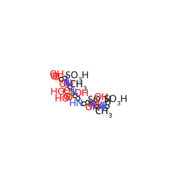 Cc1cc(/N=N/c2c(S(=O)(=O)O)cc3cc(Nc4ccc5c(O)c(/N=N/c6cc(C)c(/N=N/c7cc(S(=O)(=O)O)cc8cc(SOOO)cc(O)c78)cc6OCCO)c(SOOO)cc5c4)ccc3c2O)c(OCCO)cc1/N=N/c1cccc2ccc(S(=O)(=O)O)cc12